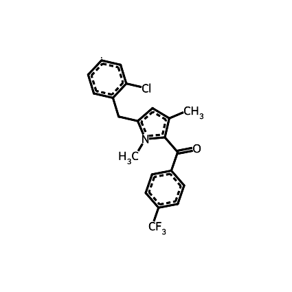 Cc1cc(Cc2cc[c]cc2Cl)n(C)c1C(=O)c1ccc(C(F)(F)F)cc1